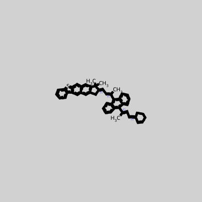 C/C(=C\C=C1\C=CCCC1)c1c2ccccc2c(/C(C)=C/C=C2\Cc3cc4cc5c(cc4cc3C2(C)C)sc2ccccc25)c2ccccc12